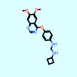 COc1cc2ncnc(Oc3ccc(NCNC4CCC4)cc3)c2cc1OC